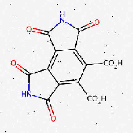 O=C(O)c1c(C(=O)O)c2c(=O)[nH]c(=O)c2c2c(=O)[nH]c(=O)c12